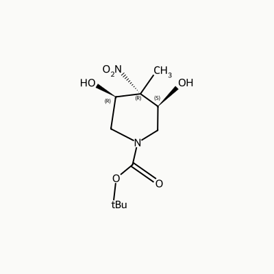 CC(C)(C)OC(=O)N1C[C@@H](O)[C@](C)([N+](=O)[O-])[C@@H](O)C1